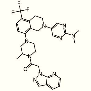 CC1CN(c2ccc(C(F)(F)F)c3c2CN(c2cnc(N(C)C)nc2)CC3)CCN1C(=O)Cn1ncc2cccnc21